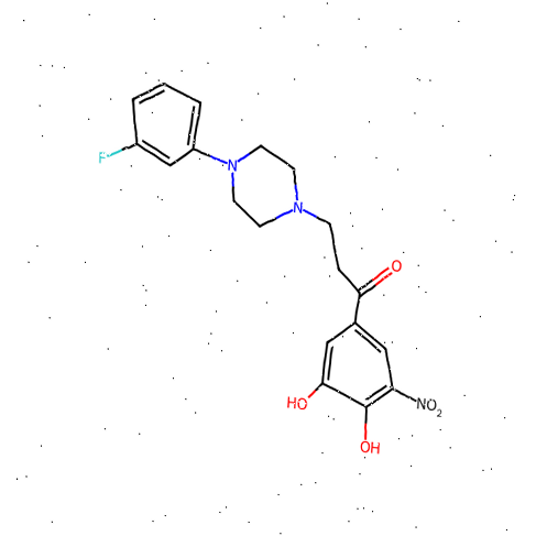 O=C(CCN1CCN(c2cccc(F)c2)CC1)c1cc(O)c(O)c([N+](=O)[O-])c1